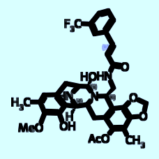 COc1c(C)cc2c(c1O)[C@H]1NC(C2)[C@H](O)N2C1Cc1c(OC(C)=O)c(C)c3c(c1[C@@H]2CNC(=O)/C=C/c1cccc(C(F)(F)F)c1)OCO3